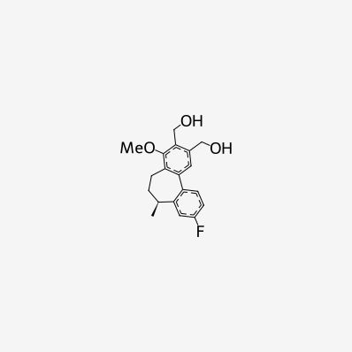 COc1c(CO)c(CO)cc2c1CC[C@H](C)c1cc(F)ccc1-2